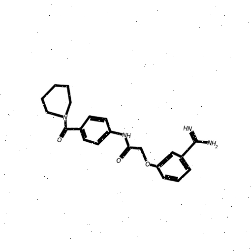 N=C(N)c1cccc(OCC(=O)Nc2ccc(C(=O)N3CCCCC3)cc2)c1